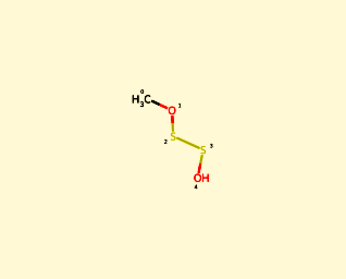 COSSO